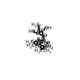 COCCOc1c(OCCO)cc(C(=O)OCC(COC(C)=O)(COC(=O)c2cc(C)c(C)c(C)c2)COC(=O)c2cc(C)c(C)c(C)c2)cc1OCCO